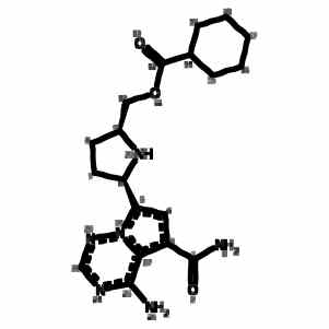 NC(=O)c1cc([C@H]2CC[C@@H](COC(=O)C3CCCCC3)N2)n2ncnc(N)c12